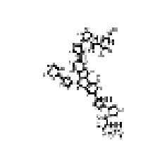 COC(=O)NC(C(=O)N1CCC[C@H]1c1ncc(-c2cc(F)c3c(c2)OC(c2cnc(-c4ccncn4)s2)n2c-3cc3cc(-c4cnc([C@@H]5CCCN5C(=O)C(NC(=O)OC)C(C)C)[nH]4)ccc32)[nH]1)C(C)C